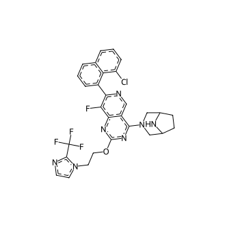 Fc1c(-c2cccc3cccc(Cl)c23)ncc2c(N3CC4CCC(C3)N4)nc(OCCn3ccnc3C(F)(F)F)nc12